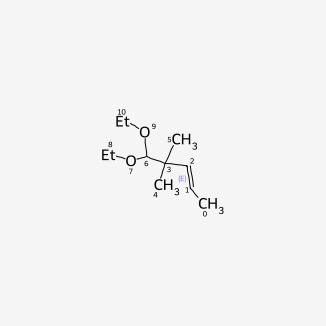 C/C=C/C(C)(C)C(OCC)OCC